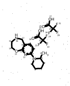 CC1CCCCN1c1ccc2c(n1)OCCNC2.O=C(O)C(F)(F)F.O=C(O)C(F)(F)F